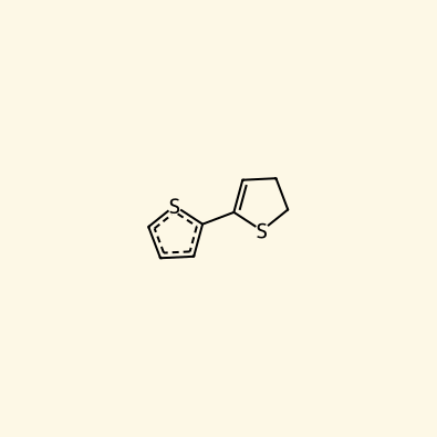 C1=C(c2cccs2)SCC1